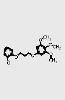 COc1cc(OCC[CH]Oc2ccccc2Cl)cc(OC)c1OC